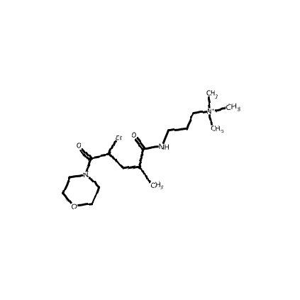 CCC(CC(C)C(=O)NCCC[N+](C)(C)C)C(=O)N1CCOCC1